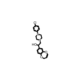 OC(CN1CCN(c2ccc(Cl)cc2)CC1)c1ccc2c(c1)OC=CCO2